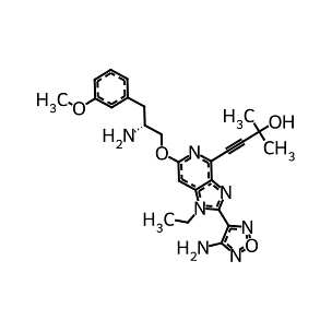 CCn1c(-c2nonc2N)nc2c(C#CC(C)(C)O)nc(OC[C@H](N)Cc3cccc(OC)c3)cc21